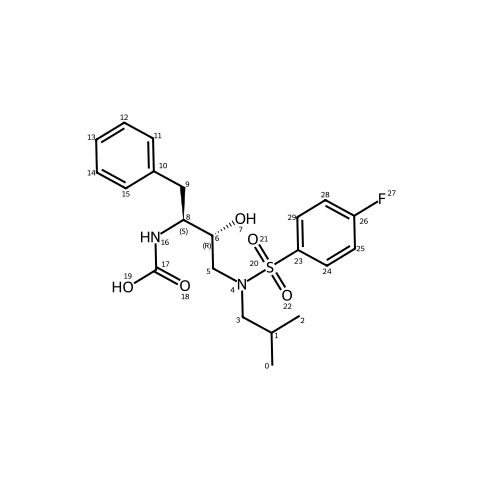 CC(C)CN(C[C@@H](O)[C@H](Cc1ccccc1)NC(=O)O)S(=O)(=O)c1ccc(F)cc1